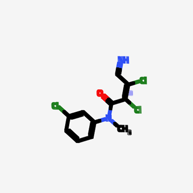 CN(C(=O)/C(Cl)=C(/Cl)C=N)c1cccc(Cl)c1